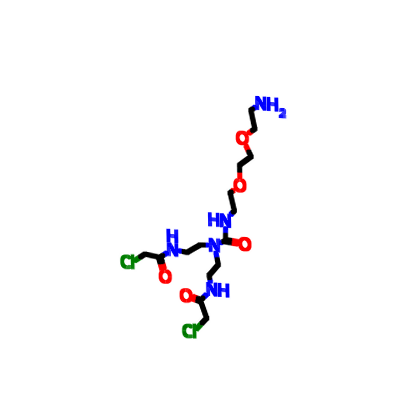 NCCOCCOCCNC(=O)N(CCNC(=O)CCl)CCNC(=O)CCl